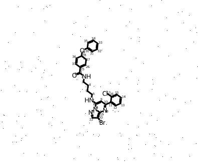 O=C(NCCCCNc1cc(-c2ccccc2Cl)nc2c(Br)cnn12)C1=CCC(Oc2ccccc2)C=C1